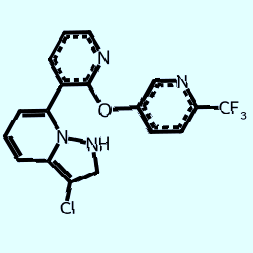 FC(F)(F)c1ccc(Oc2ncccc2C2=CC=CC3=C(Cl)CNN23)cn1